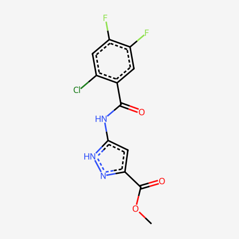 COC(=O)c1cc(NC(=O)c2cc(F)c(F)cc2Cl)[nH]n1